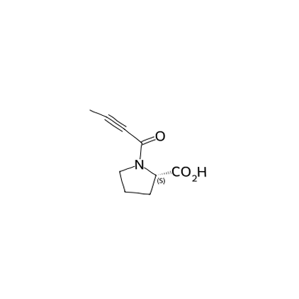 CC#CC(=O)N1CCC[C@H]1C(=O)O